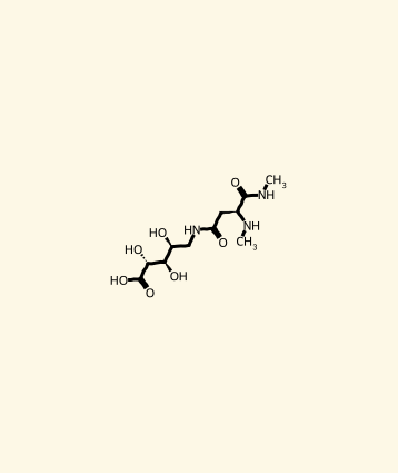 CNC(=O)[C@H](CC(=O)NC[C@H](O)[C@@H](O)[C@@H](O)C(=O)O)NC